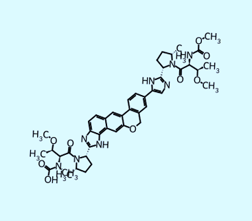 COC(=O)N[C@H](C(=O)N1[C@@H](C)CC[C@H]1c1ncc(-c2ccc3c(c2)COc2cc4c(ccc5nc([C@@H]6CC[C@H](C)N6C(=O)[C@H]([C@@H](C)OC)N(C)C(=O)O)[nH]c54)cc2-3)[nH]1)[C@@H](C)OC